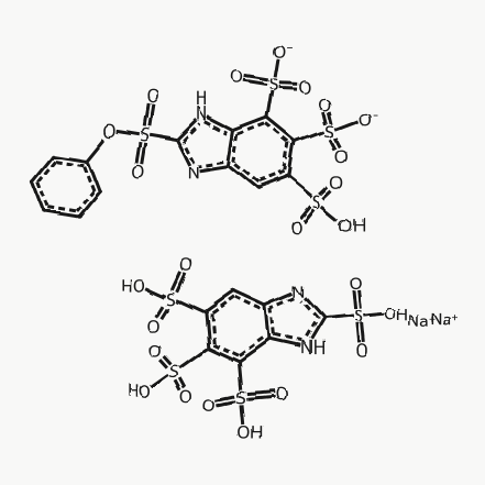 O=S(=O)(O)c1nc2cc(S(=O)(=O)O)c(S(=O)(=O)O)c(S(=O)(=O)O)c2[nH]1.O=S(=O)([O-])c1c(S(=O)(=O)O)cc2nc(S(=O)(=O)Oc3ccccc3)[nH]c2c1S(=O)(=O)[O-].[Na+].[Na+]